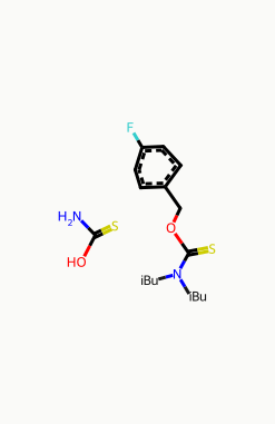 CCC(C)N(C(=S)OCc1ccc(F)cc1)C(C)CC.NC(O)=S